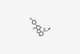 C#CCNc1ccnc2sc3c(=O)n(-c4ccc(Cl)cc4)cnc3c12